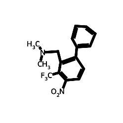 CN(C)Cc1c(-c2ccccc2)ccc([N+](=O)[O-])c1C(F)(F)F